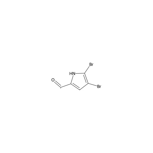 O=[C]c1cc(Br)c(Br)[nH]1